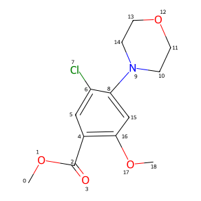 COC(=O)c1cc(Cl)c(N2CCOCC2)cc1OC